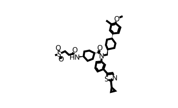 COc1ccc([C@H]2CC[C@H](CN(c3cccc(-c4cnc(C5CC5)s4)c3)C(=O)[C@H]3CC[C@H](NC(=O)CCS(C)(=O)=O)CC3)CC2)cc1C